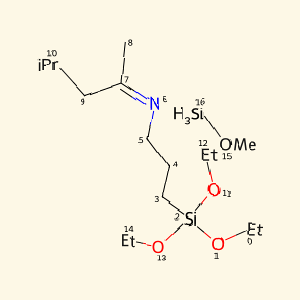 CCO[Si](CCCN=C(C)CC(C)C)(OCC)OCC.CO[SiH3]